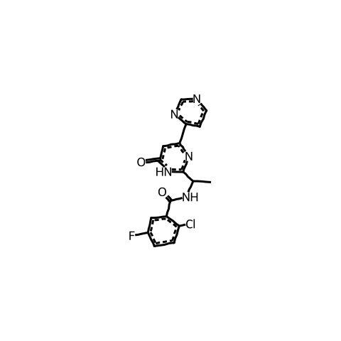 CC(NC(=O)c1cc(F)ccc1Cl)c1nc(-c2ccncn2)cc(=O)[nH]1